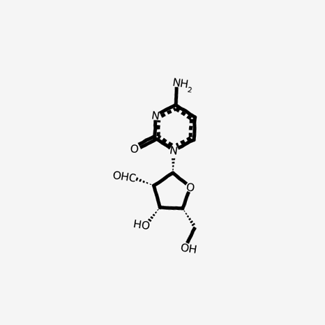 Nc1ccn([C@@H]2O[C@H](CO)[C@H](O)[C@@H]2C=O)c(=O)n1